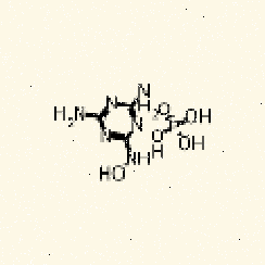 Nc1nc(N)nc(NO)n1.O=P(O)(O)O